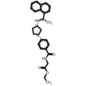 CCOC(=O)CNC(=O)c1ccc([C@@H]2CC[C@H](N[C@H](C)c3cccc4ccccc34)C2)cc1